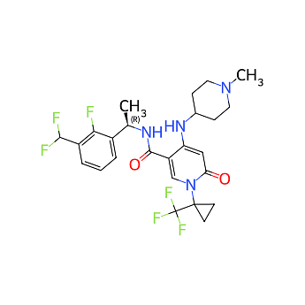 C[C@@H](NC(=O)c1cn(C2(C(F)(F)F)CC2)c(=O)cc1NC1CCN(C)CC1)c1cccc(C(F)F)c1F